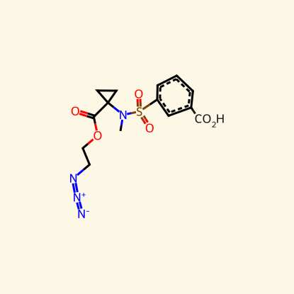 CN(C1(C(=O)OCCN=[N+]=[N-])CC1)S(=O)(=O)c1cccc(C(=O)O)c1